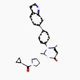 CC1=CC(=O)NC(C[C@@H]2CCN(C(=O)C3CC3)C2)N1c1ccc(-c2ccc3cc[nH]c3c2)cc1